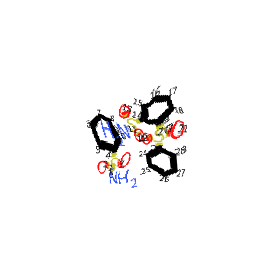 NS(=O)(=O)c1ccccc1.NS(=O)(=O)c1ccccc1S(=O)(=O)c1ccccc1